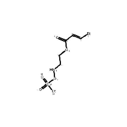 CCC=CC(=O)OCCNOS(=O)(=O)CC